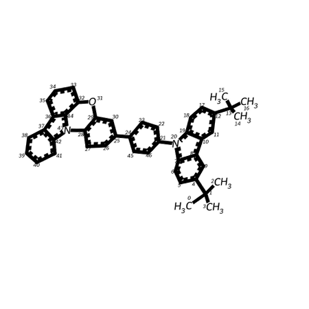 CC(C)(C)c1ccc2c(c1)c1cc(C(C)(C)C)ccc1n2-c1ccc(-c2ccc3c(c2)Oc2cccc4c5ccccc5n-3c24)cc1